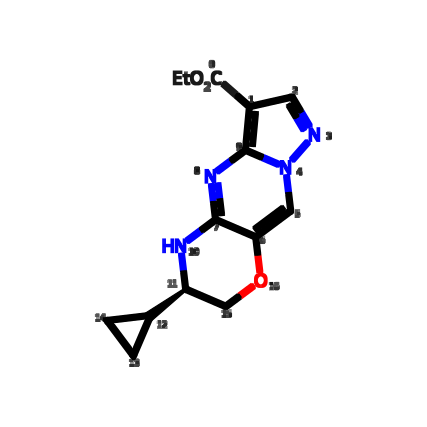 CCOC(=O)c1cnn2cc3c(nc12)N[C@H](C1CC1)CO3